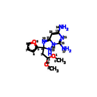 COC(CC1(c2ccco2)N=C2C=C(N)N=C(N)N2N1)OC